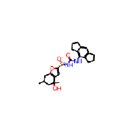 CC1Cc2oc([S+]([O-])NC(=O)Nc3c4c(cc5c3CCC5)CCC4)cc2C(C)(O)C1